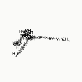 CCCCCCCCCCCCCCCCCCCCCCCCCC(=O)N[C@@H](COC1OC(CNC(=O)CCCC[C@@H]2SC[C@@H]3NC(=O)N[C@@H]32)C(O)C(O)C1O)[C@H](O)[C@H](O)CCCCCCCCCCCCCC